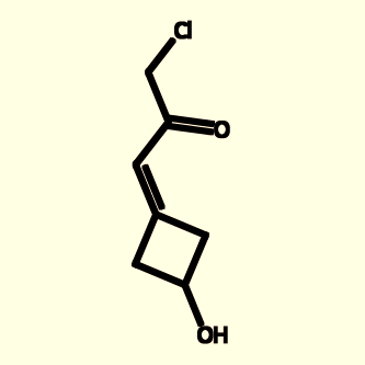 O=C(C=C1CC(O)C1)CCl